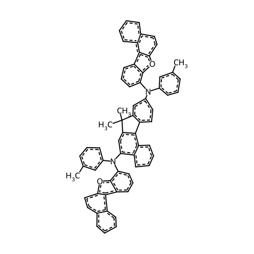 Cc1cccc(N(c2ccc3c(c2)C(C)(C)c2cc(N(c4cccc(C)c4)c4cccc5c4oc4ccc6ccccc6c45)c4ccccc4c2-3)c2cccc3c2oc2ccc4ccccc4c23)c1